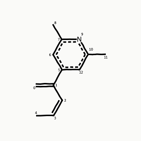 C=C(/C=C\C)c1cc(C)nc(C)c1